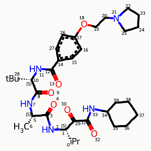 CC(C)[C@H](NC(=O)[C@H](C)NC(=O)[C@@H](NC(=O)c1ccc(OCCN2CCCC2)cc1)C(C)(C)C)C(=O)C(=O)NC1CCCCC1